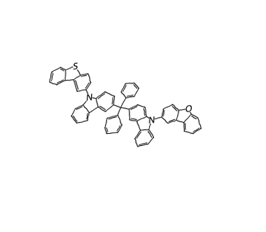 c1ccc(C(c2ccccc2)(c2ccc3c(c2)c2ccccc2n3-c2ccc3oc4ccccc4c3c2)c2ccc3c(c2)c2ccccc2n3-c2ccc3sc4ccccc4c3c2)cc1